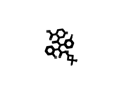 O=C(NC1CC(F)(F)C1)C(c1ccccc1Cl)N(C(=O)C1CNCCN1C(=O)O)c1cccc(F)c1